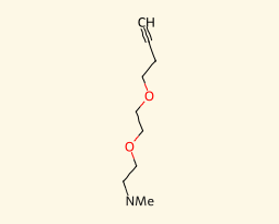 C#CCCOCCOCCNC